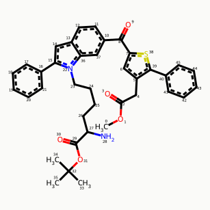 COC(=O)Cc1cc(C(=O)c2ccc3cc(-c4ccccc4)n(CCCCC(N)C(=O)OC(C)(C)C)c3c2)sc1-c1ccccc1